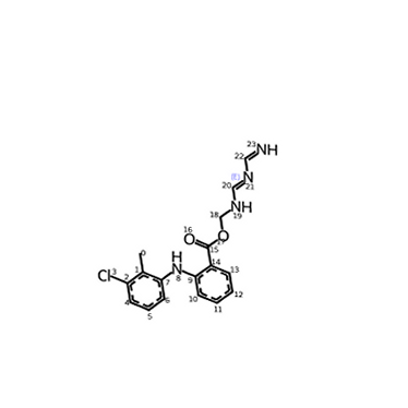 Cc1c(Cl)cccc1Nc1ccccc1C(=O)OCN/C=N/C=N